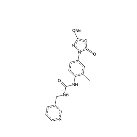 COc1nn(-c2ccc(NC(=O)NCc3cccnc3)c(C)c2)c(=O)o1